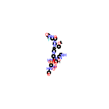 CC(C)Oc1ccccc1[C@H]1CN([C@H]2CCOc3nc(N4CCOC[C@@H]4C)c(F)cc32)CCN1C1CC2(CCN(c3ccc(C(=O)NS(=O)(=O)c4ccc(NCC5CCOCC5)c([N+](=O)[O-])c4)c(N4c5cc6cc[nH]c6nc5O[C@H]5COCC[C@@H]54)c3)CC2)C1